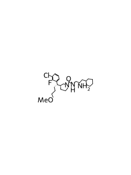 COCCCC[C@H](c1cccc(Cl)c1F)[C@@H]1CCCN(C(=O)NC[C@H](N)CC2CCCCC2)C1